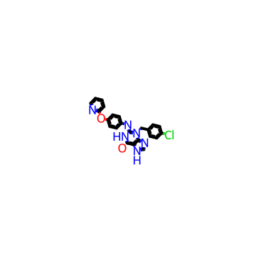 O=c1[nH]/c(=N\c2ccc(Oc3ccccn3)cc2)n(Cc2ccc(Cl)cc2)c2nc[nH]c12